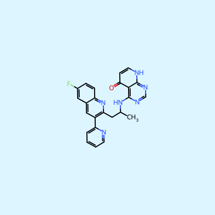 CC(Cc1nc2ccc(F)cc2cc1-c1ccccn1)Nc1ncnc2[nH]ccc(=O)c12